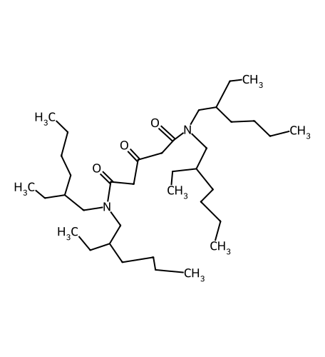 CCCCC(CC)CN(CC(CC)CCCC)C(=O)CC(=O)CC(=O)N(CC(CC)CCCC)CC(CC)CCCC